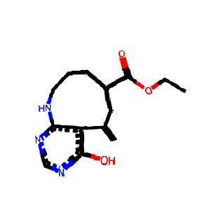 C=C1CC(C(=O)OCC)CCCNc2ncnc(O)c21